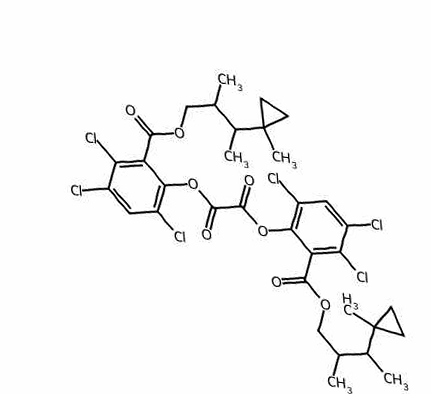 CC(COC(=O)c1c(Cl)c(Cl)cc(Cl)c1OC(=O)C(=O)Oc1c(Cl)cc(Cl)c(Cl)c1C(=O)OCC(C)C(C)C1(C)CC1)C(C)C1(C)CC1